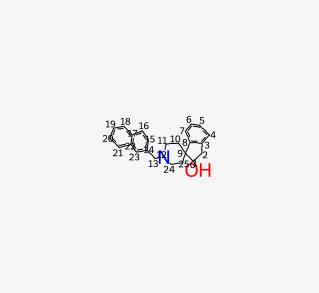 OC1Cc2ccccc2C12CCN(Cc1ccc3ccccc3c1)CC2